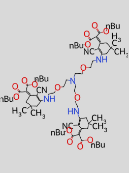 CCCCOC(=O)C(C(=O)OCCCC)=C1CC(C)(C)CC(NCCOCCN(CCOCCNC2=C(C#N)C(=C(C(=O)OCCCC)C(=O)OCCCC)CC(C)(C)C2)CCOCCNC2=C(C#N)C(=C(C(=O)OCCCC)C(=O)OCCCC)CC(C)(C)C2)=C1C#N